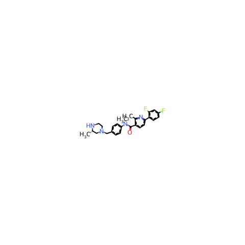 Cc1nc(-c2ccc(F)cc2F)ccc1C(=O)N(C)c1ccc(CN2CCN[C@@H](C)C2)cc1